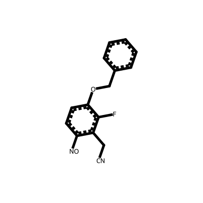 N#CCc1c(N=O)ccc(OCc2ccccc2)c1F